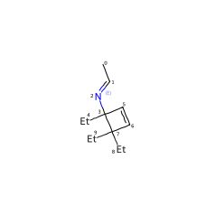 C/C=N/C1(CC)C=CC1(CC)CC